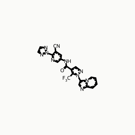 N#Cc1cc(NC(=O)c2cnn(-c3cnc4ccccn34)c2C(F)(F)F)cnc1-n1nccn1